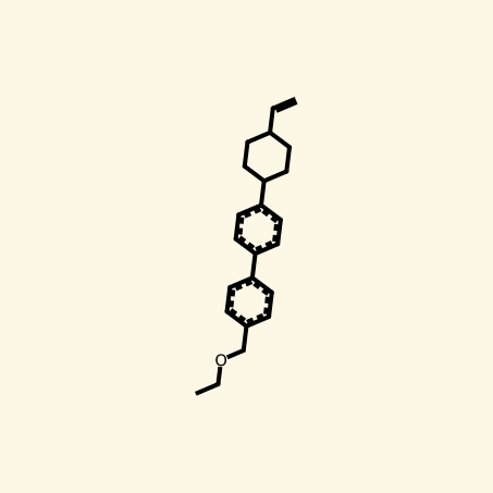 C=CC1CCC(c2ccc(-c3ccc(COCC)cc3)cc2)CC1